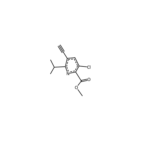 C#Cc1cc(Cl)c(C(=O)OC)nc1C(C)C